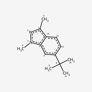 Cc1nn(C)c2cc(C(C)(C)C)ccc12